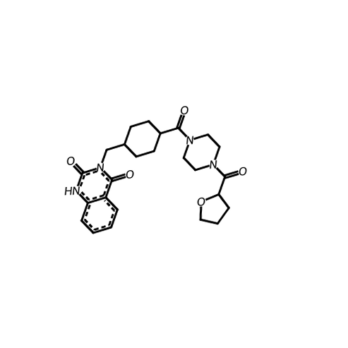 O=C(C1CCC(Cn2c(=O)[nH]c3ccccc3c2=O)CC1)N1CCN(C(=O)C2CCCO2)CC1